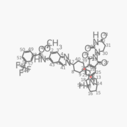 COc1cc2nn(C3CCC(CN4CC5CC[C@H](C4)N5c4ccc5c(c4)C(=O)N(N4CCC(=O)NC4=O)C5=O)CC3)cc2cc1NC(=O)c1cccc(C(F)(F)F)c1